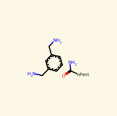 CCCCCC(N)=O.NCc1cccc(CN)c1